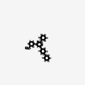 CC(C)(C)c1cccc(-c2cc(-c3ccc(-c4ccccc4)cc3)nc(-c3ccccc3)n2)c1